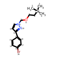 C[Si](C)(C)CCOCn1ccc(-c2ccc(Br)cc2)n1